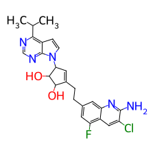 CC(C)c1ncnc2c1ccn2C1C=C(CCc2cc(F)c3cc(Cl)c(N)nc3c2)C(O)C1O